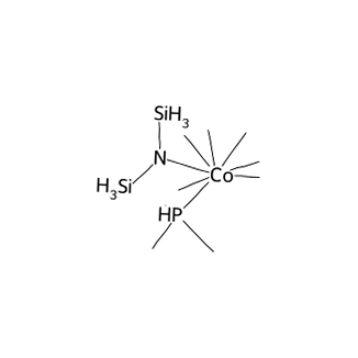 C[PH](C)(C)[Co]([CH3])([CH3])([CH3])([CH3])([CH3])([CH3])[N]([SiH3])[SiH3]